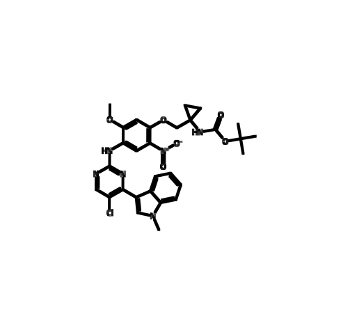 COc1cc(OCC2(NC(=O)OC(C)(C)C)CC2)c([N+](=O)[O-])cc1Nc1ncc(Cl)c(-c2cn(C)c3ccccc23)n1